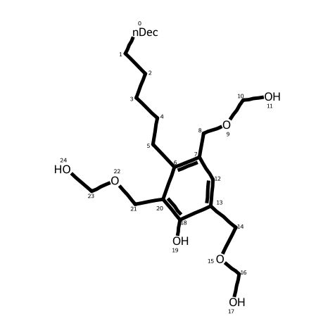 CCCCCCCCCCCCCCCc1c(COCO)cc(COCO)c(O)c1COCO